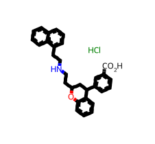 Cl.O=C(O)c1cccc(C2CC(CCNCCc3cccc4ccccc34)Oc3ccccc32)c1